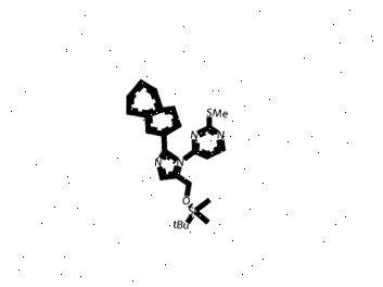 CSc1nccc(-n2c(CO[Si](C)(C)C(C)(C)C)cnc2-c2ccc3ccccc3c2)n1